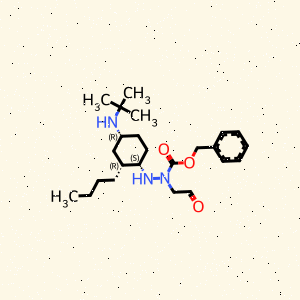 CCCC[C@@H]1C[C@H](NC(C)(C)C)CC[C@@H]1NN(CC=O)C(=O)OCc1ccccc1